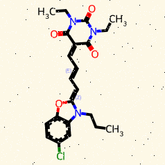 CCCN1/C(=C/C=C/C=C2C(=O)N(CC)C(=O)N(CC)C2=O)Oc2ccc(Cl)cc21